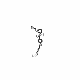 CCCCCCCOc1ccc(C(=O)Nc2cccc(OCC#N)c2)cc1